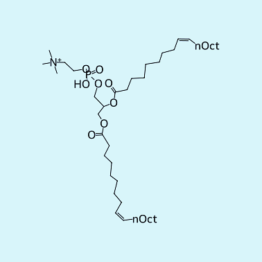 CCCCCCCC/C=C\CCCCCCCC(=O)OCC(COP(=O)(O)OCC[N+](C)(C)C)OC(=O)CCCCCCC/C=C\CCCCCCCC